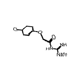 CNC(=N)NC(=O)COC1=CCC(Cl)CC1